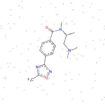 CC(CN(C)C)N(C)C(=O)c1ccc(-c2noc(C(F)(F)F)n2)cc1